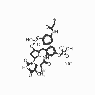 Cc1cn(C2CC(OP(=O)(O)Oc3cccc(NC(=O)CBr)c3)C(Cc3ccc(OP(=O)([O-])O)cc3NC(=O)CBr)O2)c(=O)[nH]c1=O.[Na+]